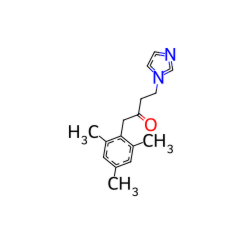 Cc1cc(C)c(CC(=O)CCn2ccnc2)c(C)c1